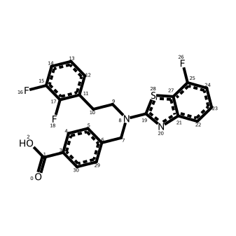 O=C(O)c1ccc(CN(CCc2cccc(F)c2F)c2nc3cccc(F)c3s2)cc1